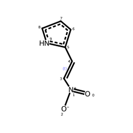 O=[N+]([O-])/C=C/c1ccc[nH]1